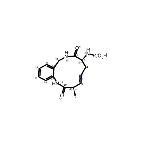 C[C@@H]1/C=C/C[C@H](NC(=O)O)C(=O)NCc2ccccc2NC1=O